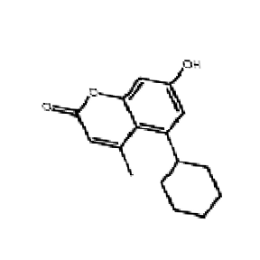 Cc1cc(=O)oc2cc(O)cc(C3CCCCC3)c12